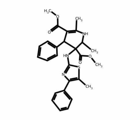 COC(=O)C1=C(C)NC(C)C(Nc2nc(-c3ccccc3)c(C)s2)(C(=O)OC)C1c1ccccc1